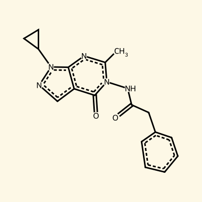 Cc1nc2c(cnn2C2CC2)c(=O)n1NC(=O)Cc1ccccc1